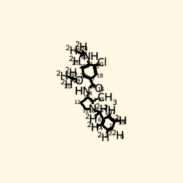 [2H]c1c([2H])c([2H])c(C([2H])([2H])N2CC[C@@H](NC(=O)c3cc(Cl)c(NC([2H])([2H])[2H])cc3OC([2H])([2H])[2H])[C@H]2C)c([2H])c1[2H]